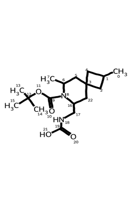 CC1CC2(C1)CC(C)N(C(=O)OC(C)(C)C)C(CNC(=O)O)C2